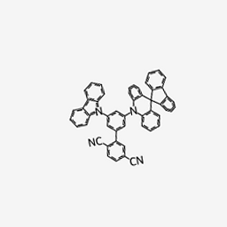 N#Cc1ccc(C#N)c(-c2cc(N3c4ccccc4C4(c5ccccc5-c5ccccc54)c4ccccc43)cc(-n3c4ccccc4c4ccccc43)c2)c1